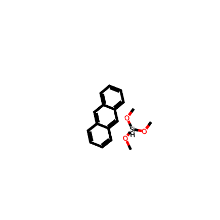 CO[SiH](OC)OC.c1ccc2cc3ccccc3cc2c1